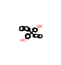 Oc1ccc(C(c2ccc(O)cc2)(C2CC3CC2C2C4CCC(C4)C32)C2CC3CC2C2C4CCC(C4)C32)cc1